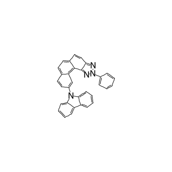 c1ccc(-n2nc3ccc4ccc5ccc(-n6c7ccccc7c7ccccc76)cc5c4c3n2)cc1